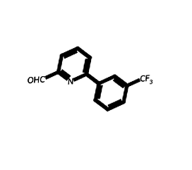 O=Cc1cccc(-c2cccc(C(F)(F)F)c2)n1